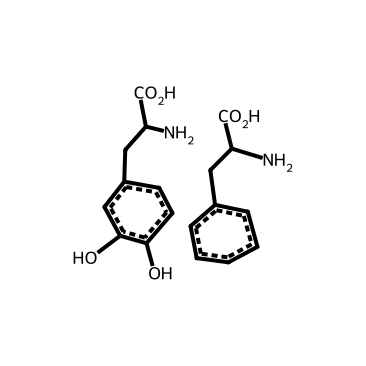 NC(Cc1ccc(O)c(O)c1)C(=O)O.NC(Cc1ccccc1)C(=O)O